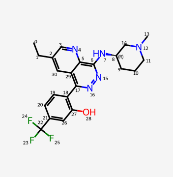 CCc1cnc2c(N[C@@H]3CCCN(C)C3)nnc(-c3ccc(C(F)(F)F)cc3O)c2c1